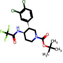 CC(C)(C)OC(=O)N1CC[C@@H](NC(=O)C(F)(F)F)[C@H](c2ccc(Cl)c(Cl)c2)C1